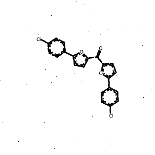 O=C(c1ccc(-c2ccc(Cl)cc2)o1)c1ccc(-c2ccc(Cl)cc2)o1